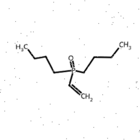 C=CP(=O)(CCCC)CCCC